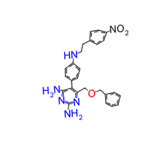 Nc1nc(N)c(-c2ccc(NCCc3ccc([N+](=O)[O-])cc3)cc2)c(COCc2ccccc2)n1